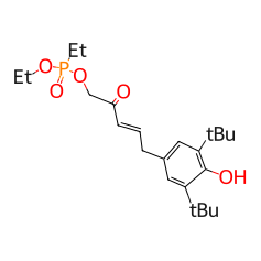 CCOP(=O)(CC)OCC(=O)C=CCc1cc(C(C)(C)C)c(O)c(C(C)(C)C)c1